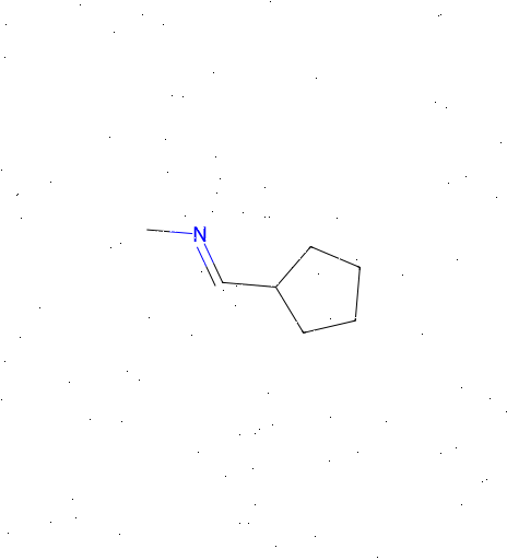 C/N=C/C1CCCC1